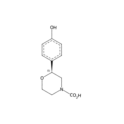 O=C(O)N1CCO[C@@H](c2ccc(O)cc2)C1